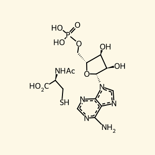 CC(=O)N[C@@H](CS)C(=O)O.Nc1ncnc2c1ncn2[C@@H]1O[C@H](COP(=O)(O)O)[C@@H](O)[C@H]1O